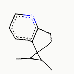 CC1C(C)C12CCc1ncccc12